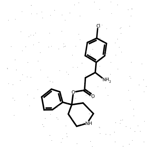 NC(CC(=O)OC1(c2ccccc2)CCNCC1)c1ccc(Cl)cc1